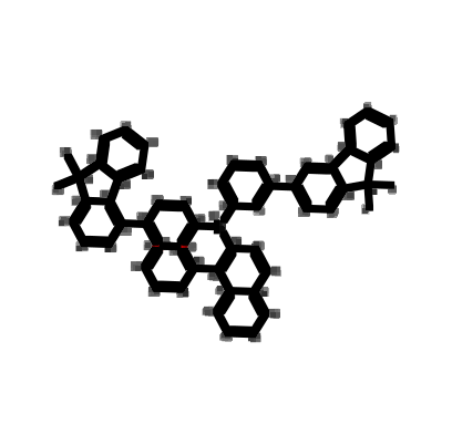 CC1(C)c2ccccc2-c2cc(-c3cccc(N(c4ccc(-c5cccc6c5-c5ccccc5C6(C)C)cc4)c4ccc5ccccc5c4-c4ccccc4)c3)ccc21